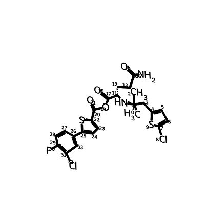 CC(C)(Cc1ccc(Cl)s1)N[C@@H](CCC(N)=O)C(=O)OC(=O)c1ccc(-c2ccc(F)c(Cl)c2)s1